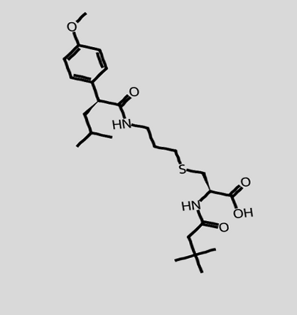 COc1ccc([C@H](CC(C)C)C(=O)NCCCSC[C@H](NC(=O)CC(C)(C)C)C(=O)O)cc1